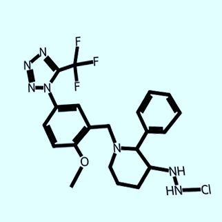 COc1ccc(-n2nnnc2C(F)(F)F)cc1CN1CCCC(NNCl)C1c1ccccc1